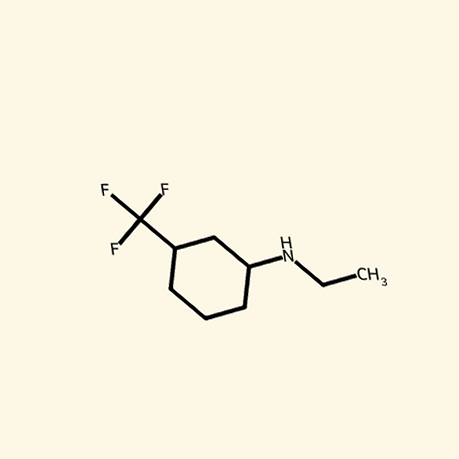 CCNC1CCCC(C(F)(F)F)C1